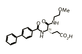 COCCNC(=O)[C@H](CCC(=O)O)NC(=O)c1ccc(-c2ccccc2)cc1